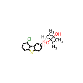 CC(C)(O)C(C)(C)OBc1ccc2sc3cccc(Cl)c3c2c1